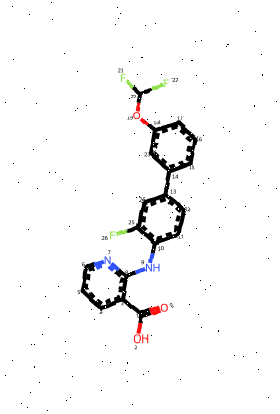 O=C(O)c1cccnc1Nc1ccc(-c2cccc(OC(F)F)c2)cc1F